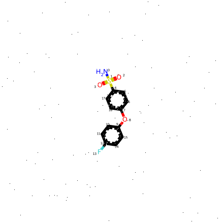 NS(=O)(=O)c1ccc(Oc2ccc(F)cc2)cc1